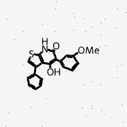 COc1cccc(-c2c(O)c3c(-c4ccccc4)csc3[nH]c2=O)c1